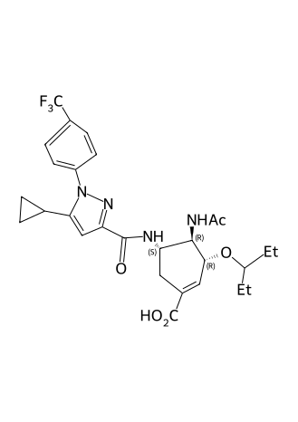 CCC(CC)O[C@@H]1C=C(C(=O)O)C[C@H](NC(=O)c2cc(C3CC3)n(-c3ccc(C(F)(F)F)cc3)n2)[C@H]1NC(C)=O